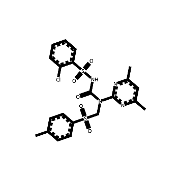 Cc1ccc(S(=O)(=O)CN(C(=O)NS(=O)(=O)c2ccccc2Cl)c2nc(C)cc(C)n2)cc1